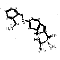 CN(C(=N)N)C(=O)c1cc2ccc(OCc3ccccc3CN)cc2[nH]1